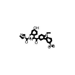 CCn1c2ccc(C(=O)/C(=N/OC(=O)n3ccnc3)c3ccc(O)cc3C)cc2c2cc([N+](=O)[O-])ccc21